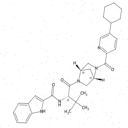 CC(C)(C)[C@H](NC(=O)c1cc2ccccc2[nH]1)C(=O)N1C[C@@H]2C[C@H]1CN2C(=O)c1ccc(C2CCCCC2)cn1